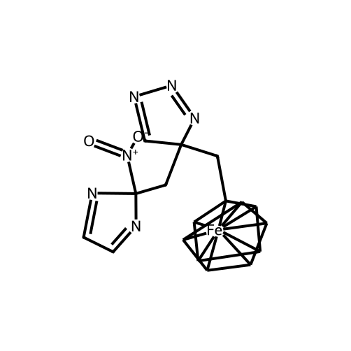 O=[N+]([O-])C1(CC2(C[C]34[CH]5[CH]6[CH]7[CH]3[Fe]6754389%10[CH]4[CH]3[CH]8[CH]9[CH]4%10)C=NN=N2)N=CC=N1